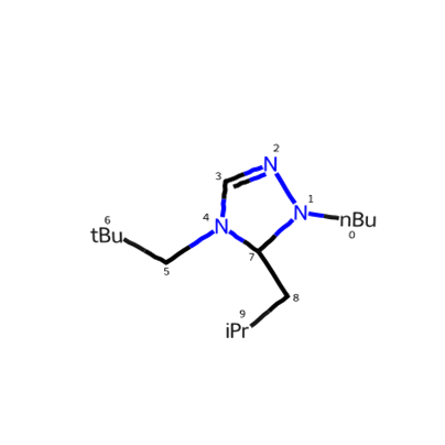 CCCCN1N=CN(CC(C)(C)C)C1CC(C)C